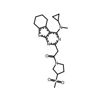 CN(c1nc(CC(=O)N2CCC(S(C)(=O)=O)C2)nc2sc3c(c12)CCCC3)C1CC1